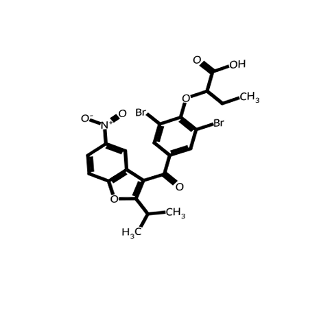 CCC(Oc1c(Br)cc(C(=O)c2c(C(C)C)oc3ccc([N+](=O)[O-])cc23)cc1Br)C(=O)O